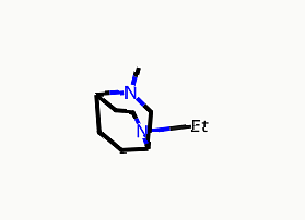 CCN1CCC2CCC1CN2C